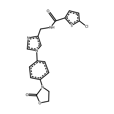 O=C(NCc1cn(-c2ccc(N3CCOC3=O)cc2)cn1)c1ccc(Cl)s1